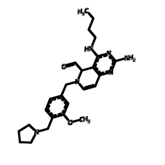 CCCCNc1nc(N)nc2c1C(C=O)N(Cc1ccc(CN3CCCC3)c(OC)c1)C=C2